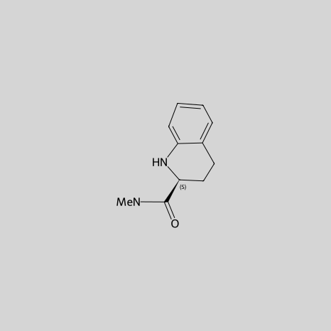 CNC(=O)[C@@H]1CCc2ccccc2N1